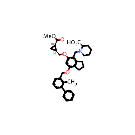 COC(=O)[C@@H]1C[C@@H]1COc1cc(OCc2cccc(-c3ccccc3)c2C)c2c(c1CN1CCCCC1C(=O)O)CCC2